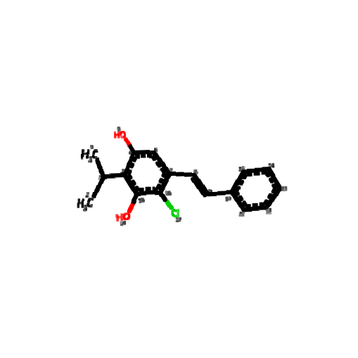 CC(C)c1c(O)cc(/C=C/c2ccccc2)c(Cl)c1O